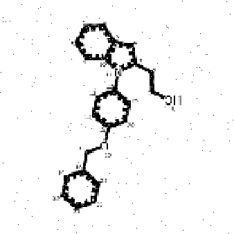 OCCc1cc2ccccc2n1-c1ccc(OCc2ccccc2)cc1